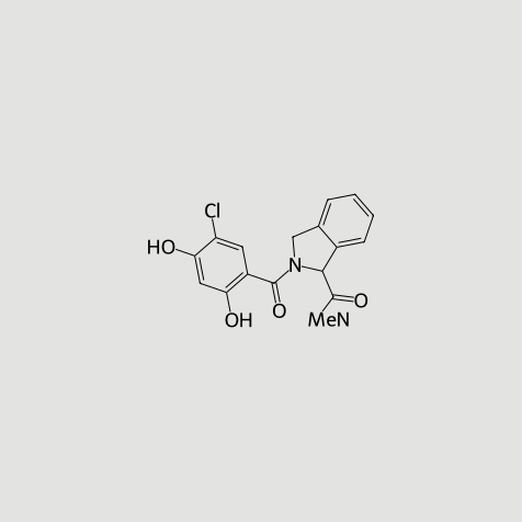 CNC(=O)C1c2ccccc2CN1C(=O)c1cc(Cl)c(O)cc1O